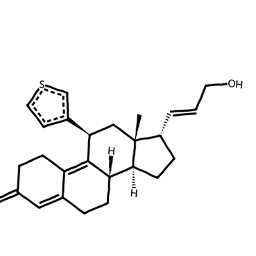 C[C@]12C[C@H](c3ccsc3)C3=C4CCC(=O)C=C4CC[C@H]3[C@@H]1CC[C@H]2C=CCO